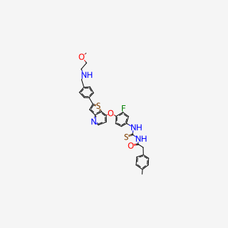 COCCNCc1ccc(-c2cc3nccc(Oc4ccc(NC(=S)NC(=O)Cc5ccc(C)cc5)cc4F)c3s2)cc1